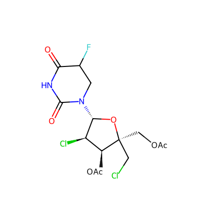 CC(=O)OC[C@@]1(CCl)O[C@@H](N2CC(F)C(=O)NC2=O)[C@H](Cl)[C@@H]1OC(C)=O